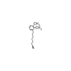 [C]#CCCCCCCc1cccc(C)c1C